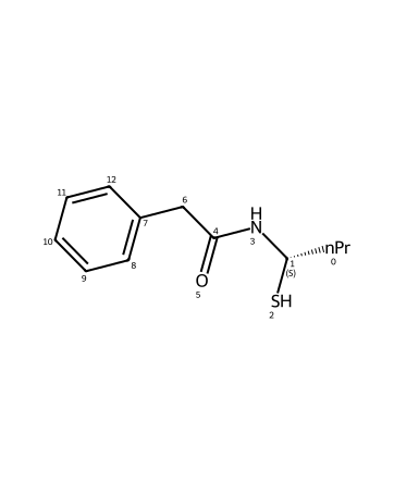 [CH2]CC[C@H](S)NC(=O)Cc1ccccc1